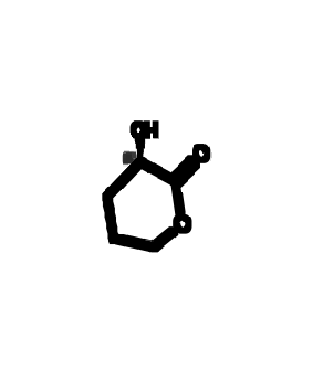 O=C1OCCC[C@@H]1O